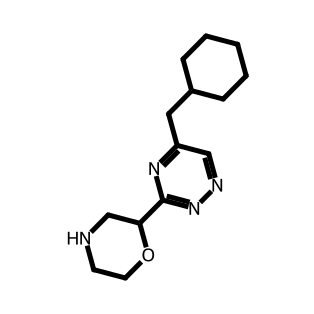 c1nnc(C2CNCCO2)nc1CC1CCCCC1